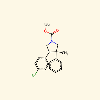 CC(C)(C)OC(=O)N1CC(c2ccc(Br)cc2)C(C)(c2ccccc2)C1